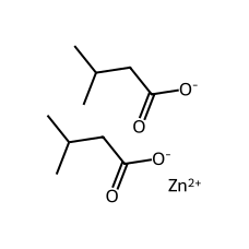 CC(C)CC(=O)[O-].CC(C)CC(=O)[O-].[Zn+2]